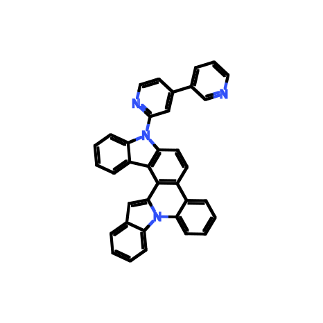 c1cncc(-c2ccnc(-n3c4ccccc4c4c5c(ccc43)c3ccccc3n3c4ccccc4cc53)c2)c1